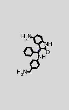 NCc1ccc(N/C(=C2\C(=O)Nc3ccc(N)cc32)c2ccccc2)cc1